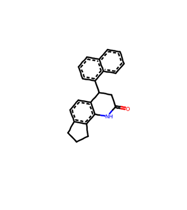 O=C1CC(c2cccc3ccccc23)c2ccc3c(c2N1)CCC3